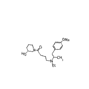 CCN(CCCC(=O)N1CCCC(O)C1)C(C)Cc1ccc(OC)cc1